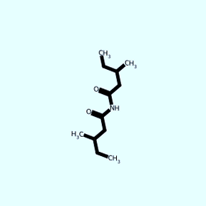 CCC(C)CC(=O)NC(=O)CC(C)CC